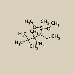 CCN([Si](C)(OC)OC)[Si](C)(C)C(C)(C)C